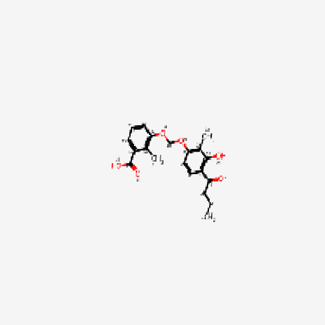 CCCC(=O)c1ccc(OCOc2cccc(C(=O)O)c2C)c(C)c1O